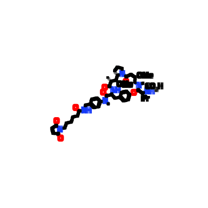 CC[C@H](C)[C@@H]([C@H](CC(=O)N1CCC[C@H]1[C@H](OC)[C@@H](C)C(=O)N[C@@H](Cc1ccccc1)C(=O)N(C)c1ccc(CNC(=O)CCCCCN2C(=O)C=CC2=O)cc1)OC)N(C)C(=O)[C@@H](NC(=O)O)C(C)C